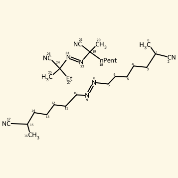 CC(C#N)CCCCCN=NCCCCCC(C)C#N.CCCCCC(C)(C#N)N=NC(C)(C#N)CC